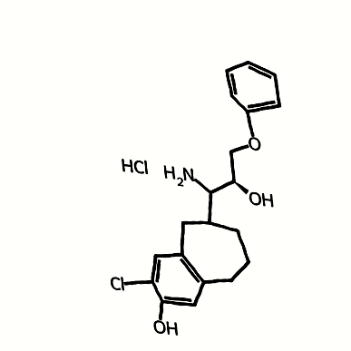 Cl.NC(C1CCCc2cc(O)c(Cl)cc2C1)[C@H](O)COc1ccccc1